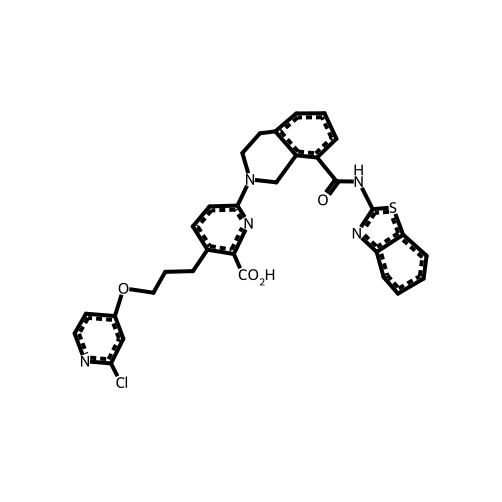 O=C(Nc1nc2ccccc2s1)c1cccc2c1CN(c1ccc(CCCOc3ccnc(Cl)c3)c(C(=O)O)n1)CC2